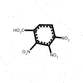 O=C(O)c1ccc([N+](=O)[O-])c([N+](=O)[O-])c1[N+](=O)[O-]